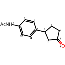 CC(=O)Nc1ccc(C2CCC(=O)C2)cc1